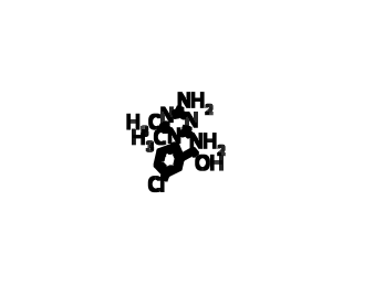 CC1(C)N=C(N)N=C(N)N1c1ccc(Cl)cc1CO